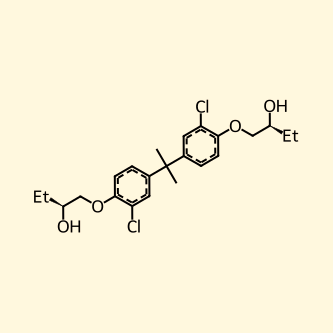 CC[C@H](O)COc1ccc(C(C)(C)c2ccc(OC[C@@H](O)CC)c(Cl)c2)cc1Cl